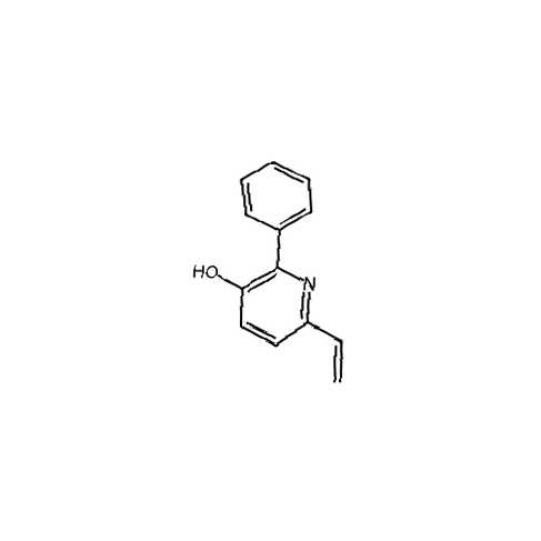 C=Cc1ccc(O)c(-c2ccccc2)n1